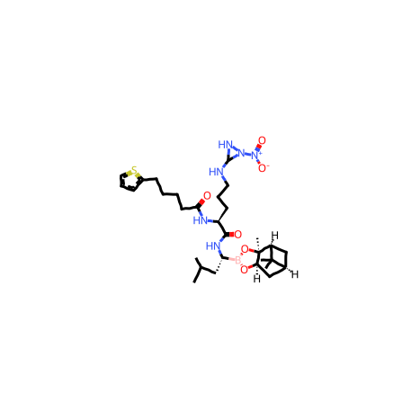 CC(C)C[C@H](NC(=O)[C@H](CCCNC1NN1[N+](=O)[O-])NC(=O)CCCCc1cccs1)B1O[C@@H]2C[C@@H]3C[C@@H](C3(C)C)[C@]2(C)O1